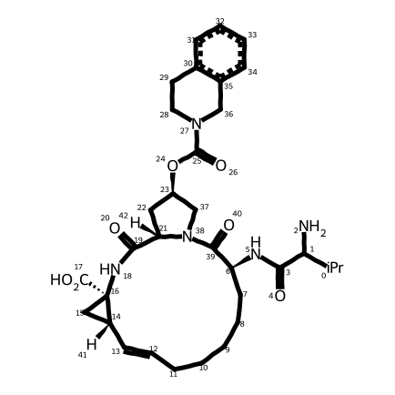 CC(C)C(N)C(=O)N[C@H]1CCCCC/C=C/[C@@H]2C[C@@]2(C(=O)O)NC(=O)[C@@H]2C[C@@H](OC(=O)N3CCc4ccccc4C3)CN2C1=O